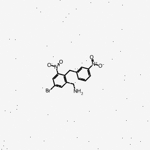 NCc1cc(Br)cc([N+](=O)[O-])c1Cc1cccc([N+](=O)[O-])c1